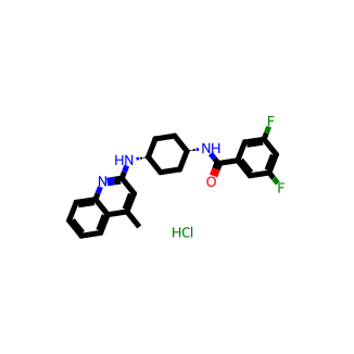 Cc1cc(N[C@H]2CC[C@@H](NC(=O)c3cc(F)cc(F)c3)CC2)nc2ccccc12.Cl